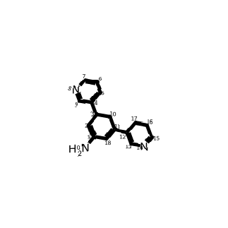 NC1=CC(c2cccnc2)CC(C2=CN=CCC2)=C1